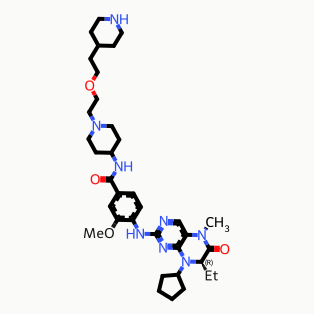 CC[C@@H]1C(=O)N(C)c2cnc(Nc3ccc(C(=O)NC4CCN(CCOCCC5CCNCC5)CC4)cc3OC)nc2N1C1CCCC1